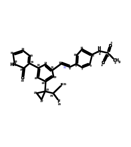 CS(=O)(=O)Nc1ccc(/C=C/c2cc(-c3ccc[nH]c3=O)cc(C3(C(F)F)CC3)c2)cc1